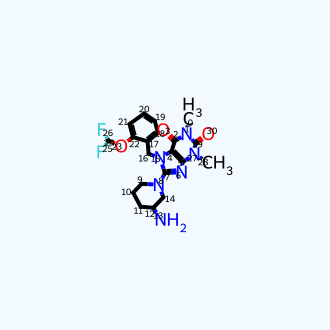 Cn1c(=O)c2c(nc(N3CCCC(N)C3)n2Cc2ccccc2OC(F)F)n(C)c1=O